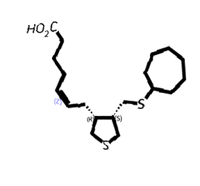 O=C(O)CCC/C=C\C[C@H]1CSC[C@H]1CSC1CCCCCC1